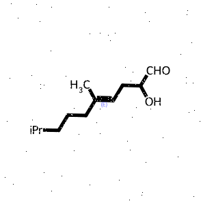 C/C(=C\CC(O)C=O)CCCC(C)C